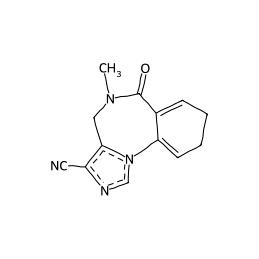 CN1Cc2c(C#N)ncn2C2=CCCC=C2C1=O